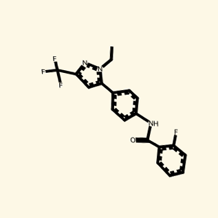 CCn1nc(C(F)(F)F)cc1-c1ccc(NC(=O)c2ccccc2F)cc1